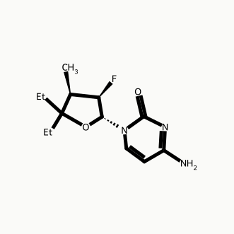 CCC1(CC)O[C@@H](n2ccc(N)nc2=O)[C@H](F)[C@@H]1C